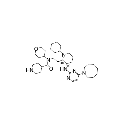 O=C(C1CCNCC1)N(CC[C@@H]1[C@@H](Nc2nccc(N3CCCCCCC3)n2)CCCN1C1CCCCC1)C1CCOCC1